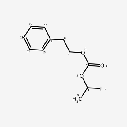 CC(I)OC(=O)OCCc1ccccc1